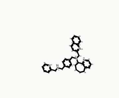 c1ccc(CNCc2ccc(CN(Cc3ccc4ccccc4n3)C3CCCCc4cccnc43)cc2)nc1